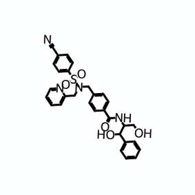 N#Cc1ccc(S(=O)(=O)N(Cc2ccc(C(=O)NC(CO)C(O)c3ccccc3)cc2)Cc2ccccn2)cc1